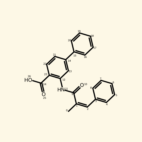 CC(=Cc1ccccc1)C(=O)Nc1cc(-c2ccccc2)ccc1C(=O)O